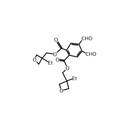 CCC1(COC(=O)c2cc(C=O)c(C=O)cc2C(=O)OCC2(CC)COC2)COC1